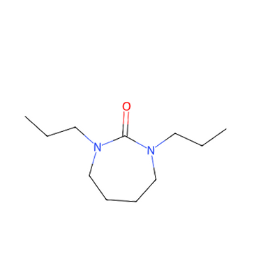 CCCN1CCCCN(CCC)C1=O